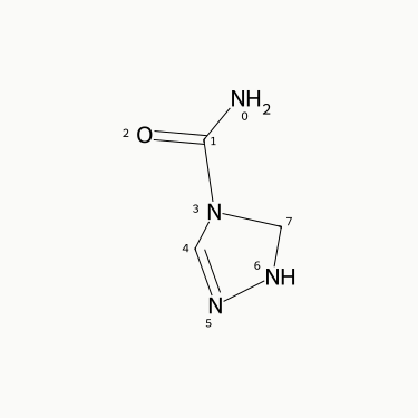 NC(=O)N1C=NNC1